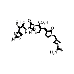 N=C(N)N1CC(CN2CCC(=CC3=C(C(=O)O)N4C(=O)[C@@H](NC(=O)/C(=N\O)c5csc(N)n5)[C@H]4SC3)C2=O)C1